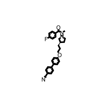 CN(C(=O)c1ccc(F)cc1)N1CC[C@@H](CCCOc2ccc(-c3ccc(C#N)cc3)cc2)C1